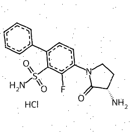 Cl.N[C@H]1CCN(c2ccc(-c3ccccc3)c(S(N)(=O)=O)c2F)C1=O